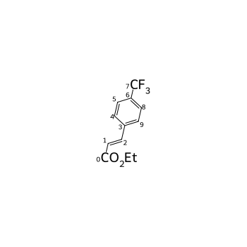 CCOC(=O)C=Cc1ccc(C(F)(F)F)cc1